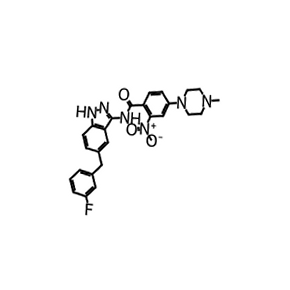 CN1CCN(c2ccc(C(=O)Nc3n[nH]c4ccc(Cc5cccc(F)c5)cc34)c([N+](=O)[O-])c2)CC1